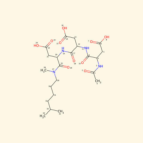 CC(=O)NC(CC(=O)O)C(=O)NC(CC(=O)O)C(=O)NC(CC(=O)O)C(=O)N(C)CCCCC(C)C